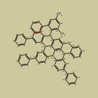 FC(F)(F)c1cc(-c2ccccc2)c(N2c3ccc(-c4ccccc4)cc3B3c4cc(-c5ccccc5)ccc4N4c5ccc(-c6ccccc6)cc5B5c6ccccc6Sc6cc2c3c4c65)c(C(F)(F)F)c1